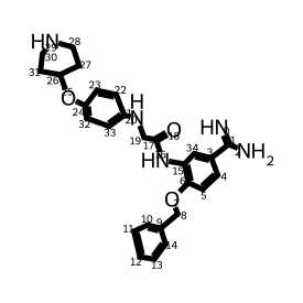 N=C(N)c1ccc(OCc2ccccc2)c(NC(=O)CNc2ccc(OC3CCNCC3)cc2)c1